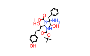 CC(O)C(N)(Cc1ccccc1)N(C(=O)O)C(NC(=O)OC(C)(C)C)C(O)CCc1ccc(O)cc1